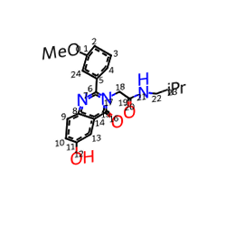 COc1cccc(-c2nc3ccc(O)cc3c(=O)n2CC(=O)NCC(C)C)c1